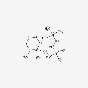 CC1CCCC[Si]1(C)C.C[Si](C)(C)OO[Si](O)(O)O